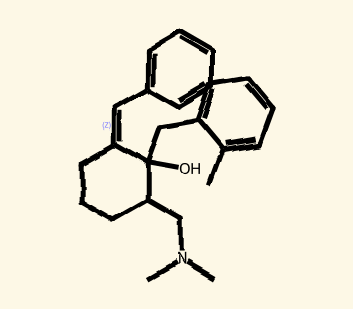 Cc1ccccc1CC1(O)/C(=C\c2ccccc2)CCCC1CN(C)C